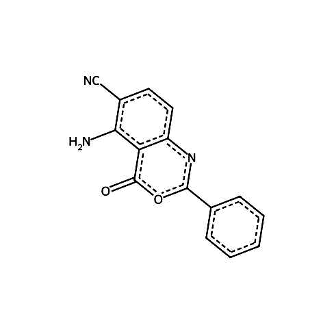 N#Cc1ccc2nc(-c3ccccc3)oc(=O)c2c1N